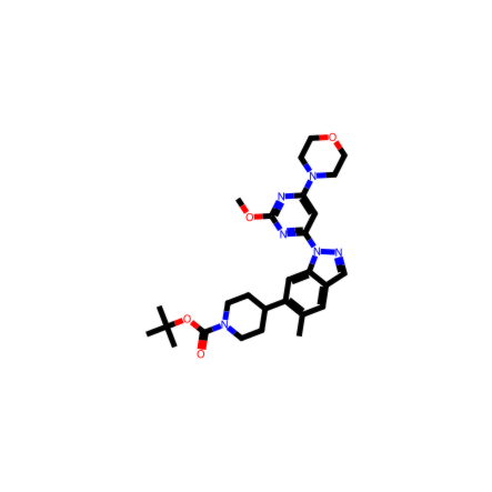 COc1nc(N2CCOCC2)cc(-n2ncc3cc(C)c(C4CCN(C(=O)OC(C)(C)C)CC4)cc32)n1